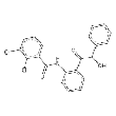 O=C(Nc1ccccc1C(=O)C(O)c1ccccc1)c1cccc(Cl)c1Cl